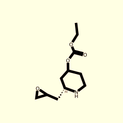 CCOC(=O)OC1CCN[C@H](CC2CO2)C1